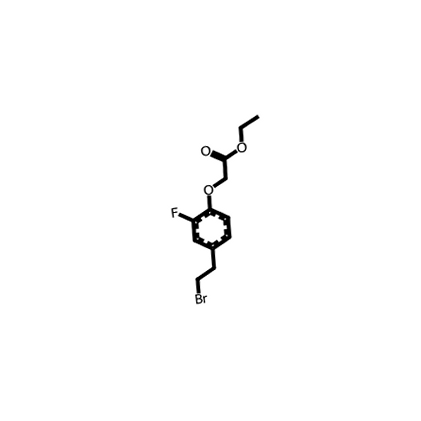 CCOC(=O)COc1ccc(CCBr)cc1F